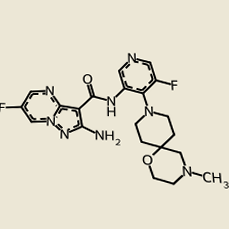 CN1CCOC2(CCN(c3c(F)cncc3NC(=O)c3c(N)nn4cc(F)cnc34)CC2)C1